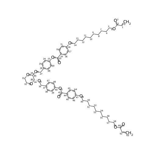 C=CC(=O)OCCCCCCCCCCOc1ccc(C(=O)Oc2ccc(CO[C@@H]3OCCO[C@H]3OCc3ccc(OC(=O)c4ccc(OCCCCCCCCCCOC(=O)C=C)cc4)cc3)cc2)cc1